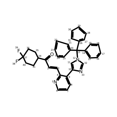 O=C(/C=C/c1ncccc1-c1cn(C(c2ccccc2)(c2ccccc2)c2ccccc2)cn1)C1CCC(F)(F)CC1